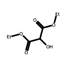 CCOC(=O)[C](O)C(=O)OCC